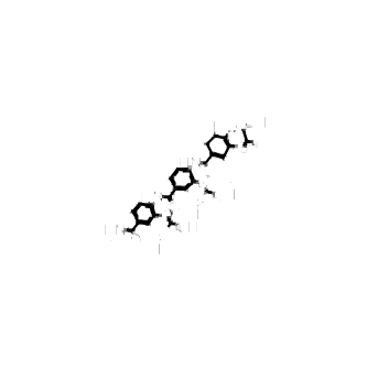 C=C(Nc1ccc(C(=O)Nc2ccc(C(N)=O)cc2OC(C)C)cc1OC(C)C)C1=CC(OC(C)CC)=C(O)CC1